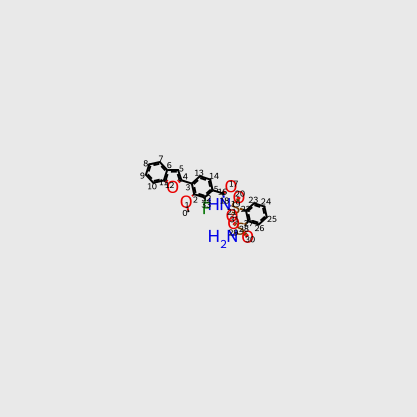 COc1c(-c2cc3ccccc3o2)ccc(C(=O)NS(=O)(=O)c2ccccc2S(N)(=O)=O)c1F